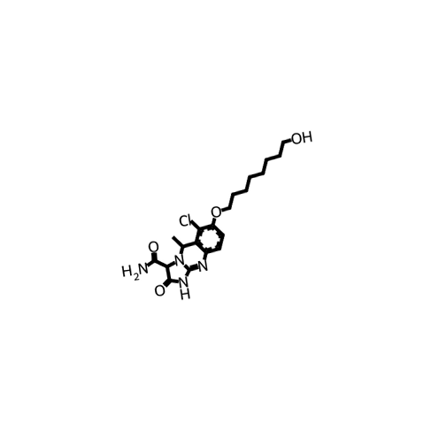 CC1c2c(ccc(OCCCCCCCCO)c2Cl)N=C2NC(=O)C(C(N)=O)N21